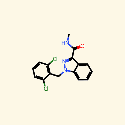 CNC(=O)c1nn(Cc2c(Cl)cccc2Cl)c2ccccc12